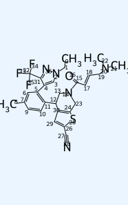 CCn1cc(-c2cc(C)ccc2C2CN(C(=O)/C=C/CN(C)C)Cc3sc(C#N)cc32)c(C(F)(F)F)n1